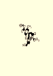 CC[C@H]1CN(C(=O)OC(C)(C)C)[C@H](C)CN1c1cc(=O)n(C)n2cc(CC#N)nc12